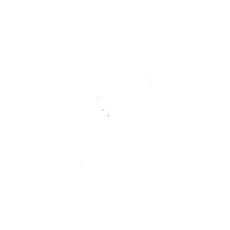 Cc1ccccc1C=[N+]([O-])c1cccc(O)c1